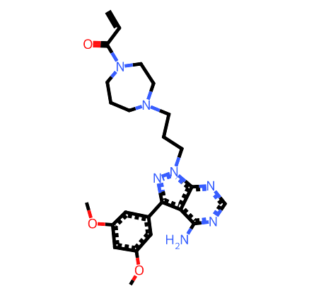 C=CC(=O)N1CCCN(CCCn2nc(-c3cc(OC)cc(OC)c3)c3c(N)ncnc32)CC1